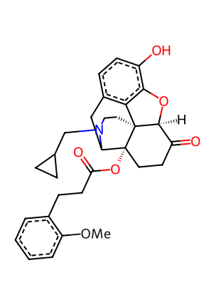 COc1ccccc1CCC(=O)O[C@@]12CCC(=O)[C@@H]3Oc4c(O)ccc5c4[C@@]31CCN(CC1CC1)C2C5